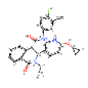 N#Cc1cc(NC(=O)[C@H]2c3ccccc3C(=O)N(CC(F)(F)F)[C@@H]2c2ccc(OC3CC3)nc2)ccc1F